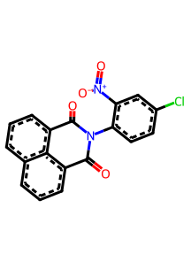 O=C1c2cccc3cccc(c23)C(=O)N1c1ccc(Cl)cc1[N+](=O)[O-]